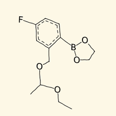 CCOC(C)OCc1cc(F)ccc1B1OCCO1